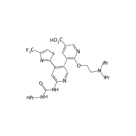 CCCNC(=O)Nc1cc(-c2nc(C(F)(F)F)cs2)c(-c2cc(C(=O)O)cnc2OCCN(C(C)C)C(C)C)cn1